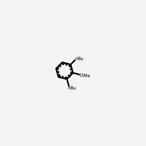 CCCCc1cccc(CCCC)c1OC